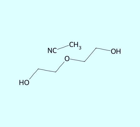 CC#N.OCCOCCO